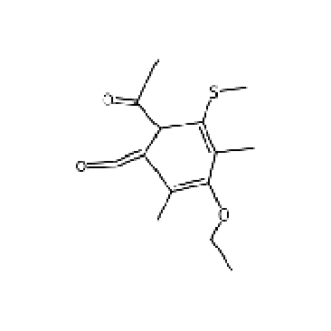 CCOC1=C(C)C(=C=O)C(C(C)=O)C(SC)=C1C